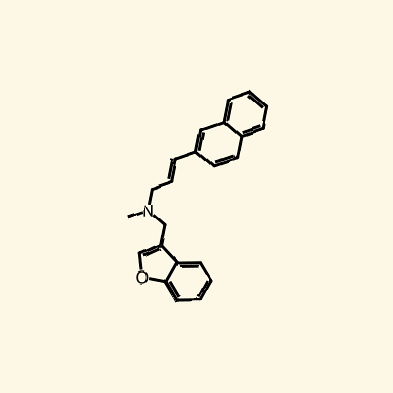 CN(C/C=C/c1ccc2ccccc2c1)Cc1coc2ccccc12